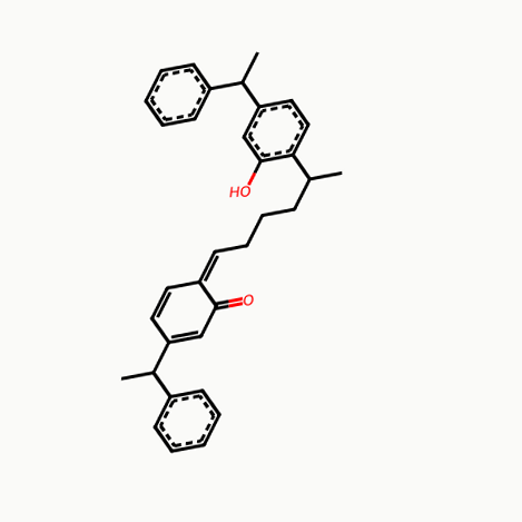 CC(CCCC=C1C=CC(C(C)c2ccccc2)=CC1=O)c1ccc(C(C)c2ccccc2)cc1O